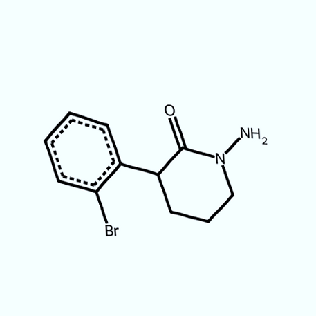 NN1CCCC(c2ccccc2Br)C1=O